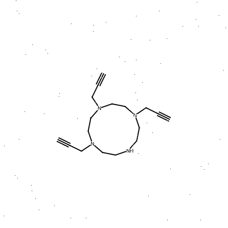 C#CCN1CCNCCN(CC#C)CCN(CC#C)CC1